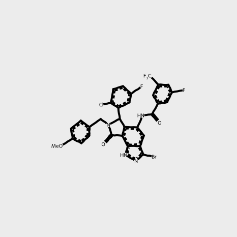 COc1ccc(CN2C(=O)c3c(c(NC(=O)c4cc(F)cc(C(F)(F)F)c4)cc4c(Br)n[nH]c34)C2c2cc(F)ccc2Cl)cc1